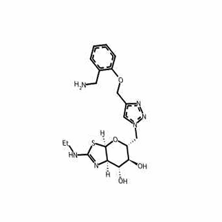 CCNC1=N[C@@H]2[C@@H](O)[C@H](O)[C@@H](Cn3cc(COc4ccccc4CN)nn3)O[C@@H]2S1